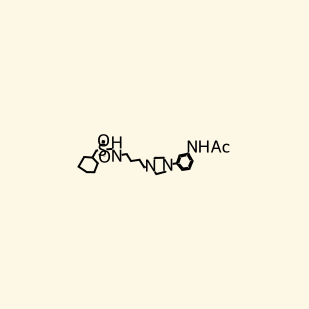 CC(=O)Nc1cccc(N2CCN(CCCCNCS(=O)(=O)CC3CCCCC3)CC2)c1